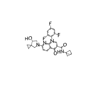 O=C(NC12CC(C1)C2)c1cn(-c2c(F)cc(F)cc2F)c2nc(N3CC(O)C4(CC4)C3)ccc2c1=O